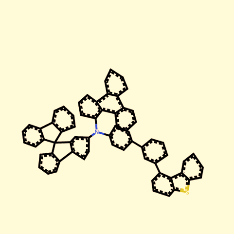 c1cc(-c2ccc(N(c3ccc4c(c3)C3(c5ccccc5-c5ccccc53)c3ccccc3-4)c3cccc4c5ccccc5c5ccccc5c34)cc2)cc(-c2cccc3sc4ccccc4c23)c1